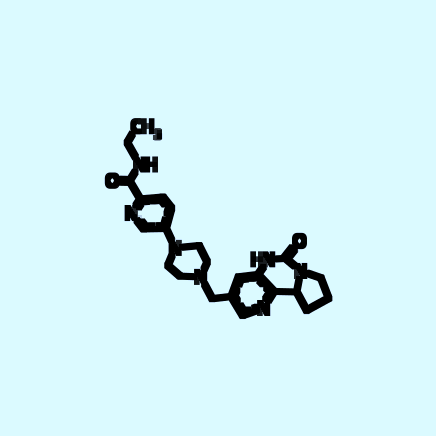 CCNC(=O)c1ccc(N2CCN(Cc3cnc4c(c3)NC(=O)N3CCCC43)CC2)cn1